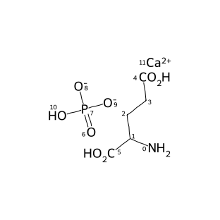 NC(CCC(=O)O)C(=O)O.O=P([O-])([O-])O.[Ca+2]